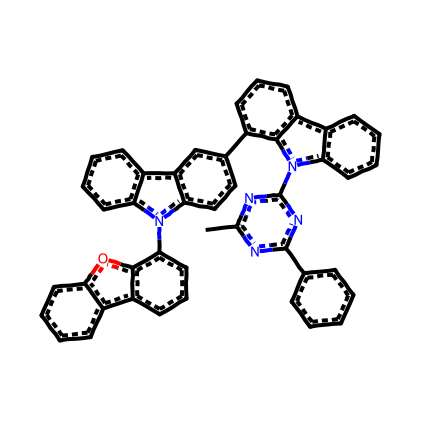 Cc1nc(-c2ccccc2)nc(-n2c3ccccc3c3cccc(-c4ccc5c(c4)c4ccccc4n5-c4cccc5c4oc4ccccc45)c32)n1